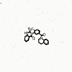 O=C(c1ccc(C(F)(F)F)c(-n2c(=O)[nH]c3ccccc3c2=O)c1)N1CCCc2ccccc21